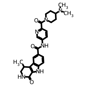 CC1CNC(=O)c2[nH]c3ccc(C(=O)Nc4ccc(C(=O)N5CCC(N(C)C)CC5)nc4)cc3c21